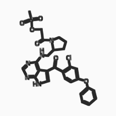 CS(=O)(=O)OCC(=O)N1CCCC1CNc1ncnc2[nH]cc(C(=O)c3ccc(Oc4ccccc4)cc3Cl)c12